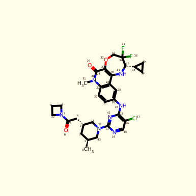 C[C@H]1C[C@H](CC(=O)N2CCC2)CN(c2ncc(Cl)c(Nc3ccc4c(c3)c3c(c(=O)n4C)OCC(F)(F)[C@H](C4CC4)N3)n2)C1